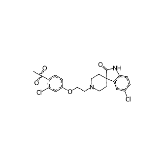 CS(=O)(=O)c1ccc(OCCN2CCC3(CC2)C(=O)Nc2ccc(Cl)cc23)cc1Cl